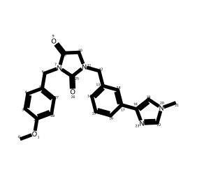 COc1ccc(CN2C(=O)CN(Cc3cc[c]c(-c4cn(C)cn4)c3)C2=O)cc1